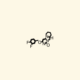 O=c1nc(OCc2ccc(F)c(F)c2)cc2n1C[C@H]1CCCCN21